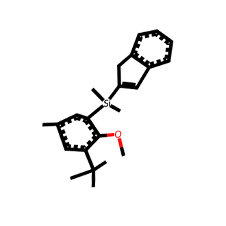 COc1c(C(C)(C)C)cc(C)cc1[Si](C)(C)C1=Cc2ccccc2C1